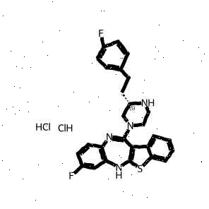 Cl.Cl.Fc1ccc(CC[C@H]2CN(C3=Nc4ccc(F)cc4Nc4sc5ccccc5c43)CCN2)cc1